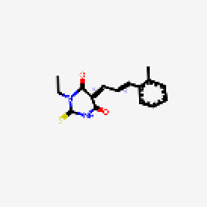 CCN1C(=O)/C(=C/C=C/c2ccccc2C)C(=O)NC1=S